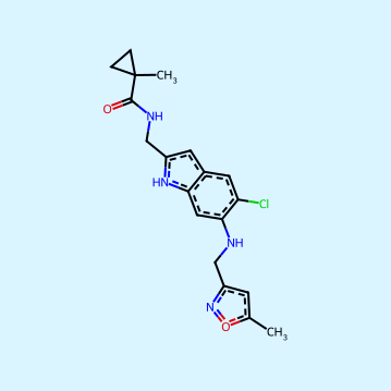 Cc1cc(CNc2cc3[nH]c(CNC(=O)C4(C)CC4)cc3cc2Cl)no1